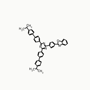 CC(C)c1ccc(-c2ccc(-c3nc(-c4ccc(-c5ccc(C(C)C)cc5)cc4)nc(-c4ccc(-c5nc6ccccc6o5)cc4)n3)cc2)cc1